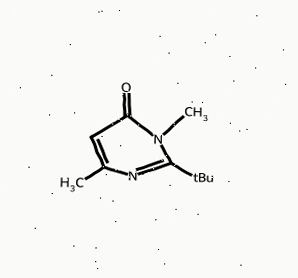 Cc1cc(=O)n(C)c(C(C)(C)C)n1